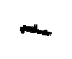 CC(C)CC(=O)OCCCOCCNC(=O)CC(=O)Nc1ccc(CC(=O)N2CCC2=O)cc1